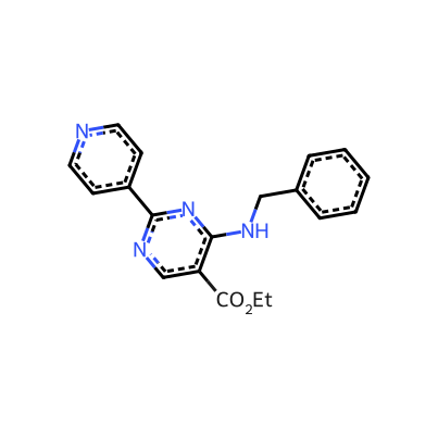 CCOC(=O)c1cnc(-c2ccncc2)nc1NCc1ccccc1